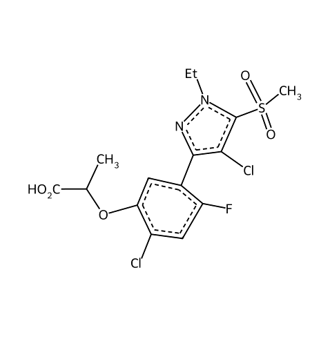 CCn1nc(-c2cc(OC(C)C(=O)O)c(Cl)cc2F)c(Cl)c1S(C)(=O)=O